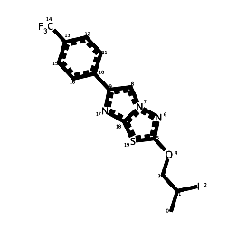 CC(I)COc1nn2cc(-c3ccc(C(F)(F)F)cc3)nc2s1